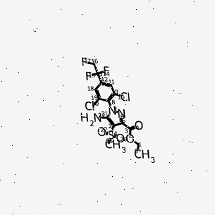 CCOC(=O)c1nn(-c2c(Cl)cc(C(F)(F)CF)cc2Cl)c(N)c1S(C)(=O)=O